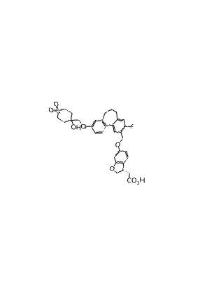 O=C(O)C[C@@H]1COc2cc(OCc3cc4c(cc3F)CCCc3cc(OCC5(O)CCS(=O)(=O)CC5)ccc3-4)ccc21